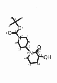 CC(C)(C)OC(=O)N1CCC(N2CCCC(O)C2=O)CC1